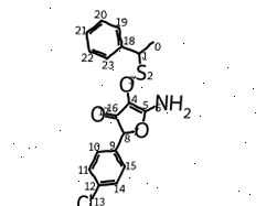 CC(SOC1=C(N)OC(c2ccc(Cl)cc2)C1=O)c1ccccc1